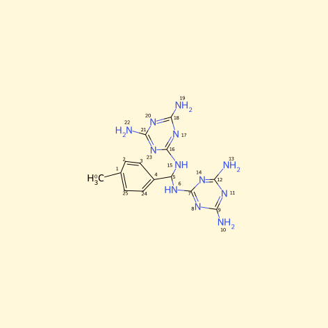 Cc1ccc(C(Nc2nc(N)nc(N)n2)Nc2nc(N)nc(N)n2)cc1